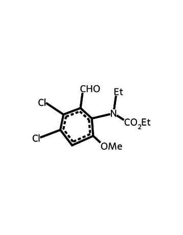 CCOC(=O)N(CC)c1c(OC)cc(Cl)c(Cl)c1C=O